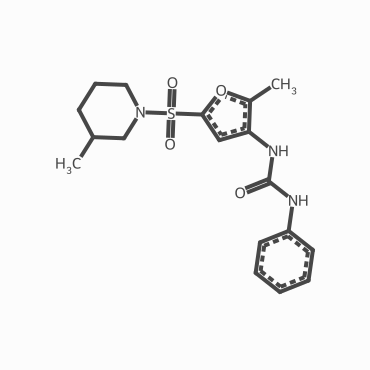 Cc1oc(S(=O)(=O)N2CCCC(C)C2)cc1NC(=O)Nc1ccccc1